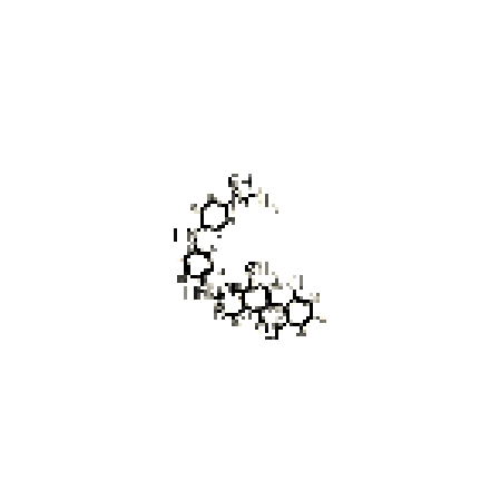 CN(C)C1CCC(Nc2ccc(Nc3ncc4c(=O)c(-c5c(Cl)cccc5Cl)cn(C)c4n3)cc2)CC1